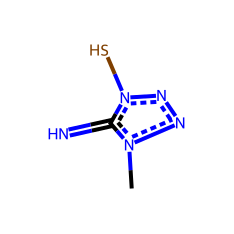 Cn1nnn(S)c1=N